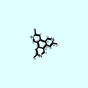 Cc1cc2c(cn1)c1cc(C)ncc1c1cc(C)ncc21